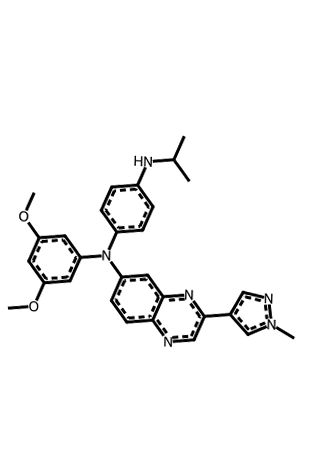 COc1cc(OC)cc(N(c2ccc(NC(C)C)cc2)c2ccc3ncc(-c4cnn(C)c4)nc3c2)c1